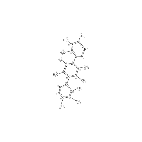 Cc1nnc(-c2c(C)c(C)c(-c3nnc(C)c(C)c3C)c(C)c2C)c(C)c1C